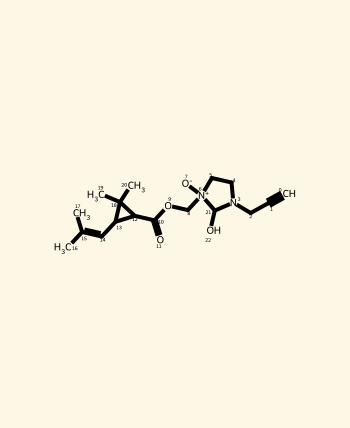 C#CCN1CC[N+]([O-])(COC(=O)C2C(C=C(C)C)C2(C)C)C1O